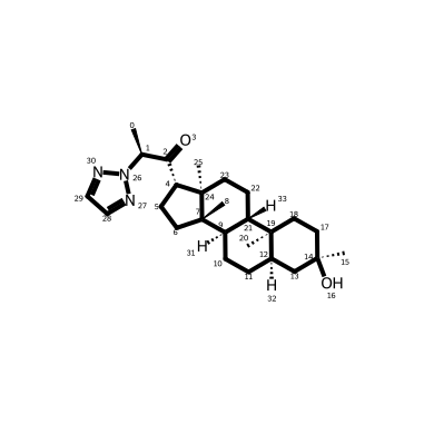 C[C@@H](C(=O)[C@H]1CC[C@@]2(C)[C@@H]3CC[C@@H]4C[C@](C)(O)CC[C@]4(C)[C@H]3CC[C@]12C)n1nccn1